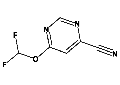 N#Cc1cc(OC(F)F)ncn1